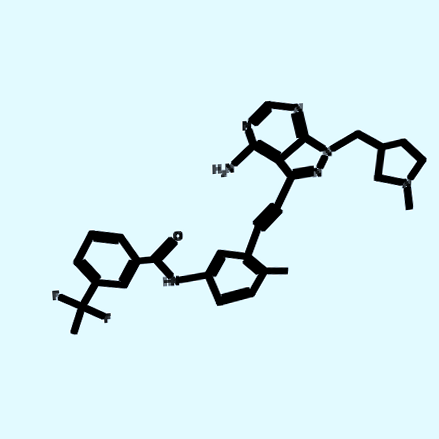 Cc1ccc(NC(=O)c2cccc(C(C)(F)F)c2)cc1C#Cc1nn(CC2CCN(C)C2)c2ncnc(N)c12